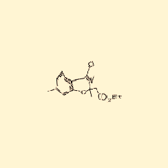 CCOC(=O)CC1(C)N=C(Cl)c2ccc(C)cc2O1